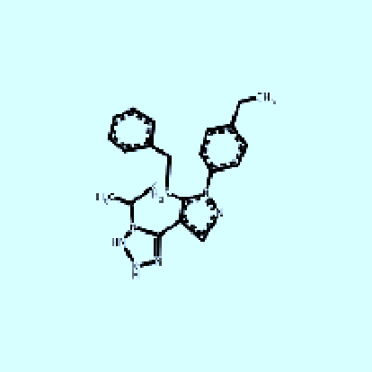 CCc1ccc(-n2ncc(C3=NNNN3C(C)C)c2SCc2ccccc2)cc1